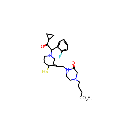 CCOC(=O)CCCN1CCN(C/C=C2\CN(C(C(=O)C3CC3)c3ccccc3F)CCC2S)C(=O)C1